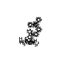 CC1(C)c2cc3c4ccccc4n(-c4cccc(-c5cccc(-c6cc(-c7ccccc7)nc(-c7ccccc7)n6)c5)c4)c3cc2C(C)(C)C1(C)C